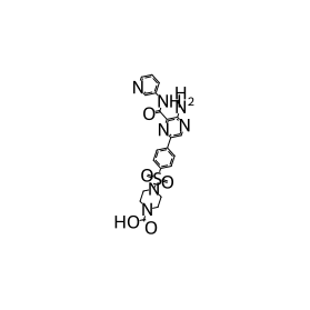 Nc1ncc(-c2ccc(S(=O)(=O)N3CCN(C(=O)O)CC3)cc2)nc1C(=O)Nc1cccnc1